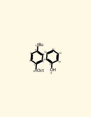 CCCCCCCCc1ccc(C(C)(C)C)cc1.Oc1ccccc1